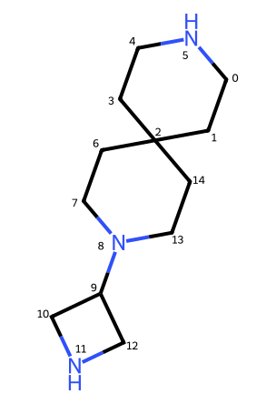 C1CC2(CCN1)CCN(C1CNC1)CC2